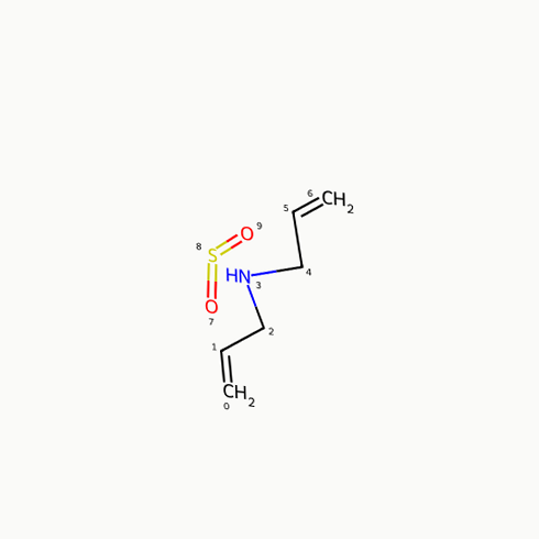 C=CCNCC=C.O=S=O